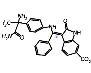 CCOC(=O)c1ccc2c(c1)NC(=O)/C2=C(\Nc1ccc(C(C)(N)C(N)=O)cc1)c1ccccc1